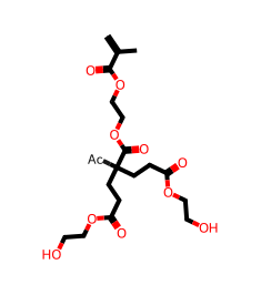 C=C(C)C(=O)OCCOC(=O)C(CCC(=O)OCCO)(CCC(=O)OCCO)C(C)=O